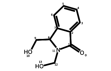 O=C1c2ccccc2C(CO)N1CO